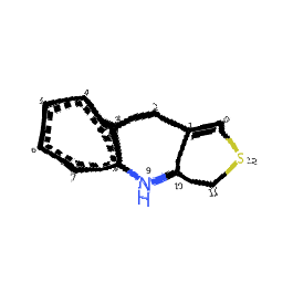 C1=C2Cc3ccccc3NC2CS1